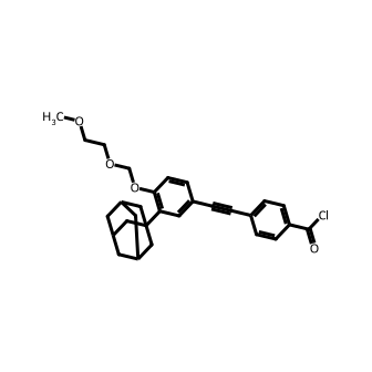 COCCOCOc1ccc(C#Cc2ccc(C(=O)Cl)cc2)cc1C12CC3CC(CC(C3)C1)C2